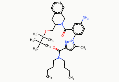 CCCCN(CCCC)C(=O)c1cc(C)n(-c2ccc(N)cc2C(=O)N2Cc3ccccc3CC2CO[Si](C)(C)C(C)(C)C)n1